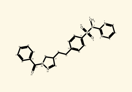 CN(c1ncccn1)S(=O)(=O)c1ccc(CCC2C=NN(C(=O)c3ccccc3)C2)cc1